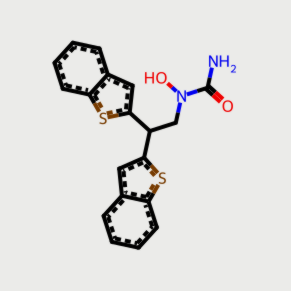 NC(=O)N(O)CC(c1cc2ccccc2s1)c1cc2ccccc2s1